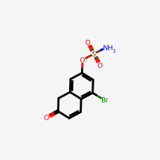 NS(=O)(=O)Oc1cc(Br)c2c(c1)CC(=O)C=C2